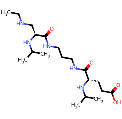 CCNC[C@H](NC(C)C)C(=O)NCCCNC(=O)[C@H](CCC(=O)O)NC(C)C